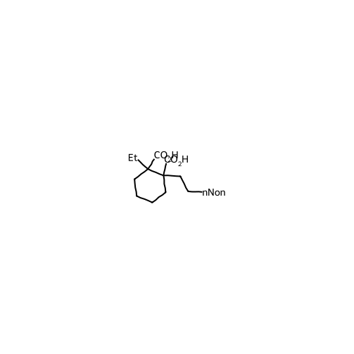 CCCCCCCCCCCC1(C(=O)O)CCCCC1(CC)C(=O)O